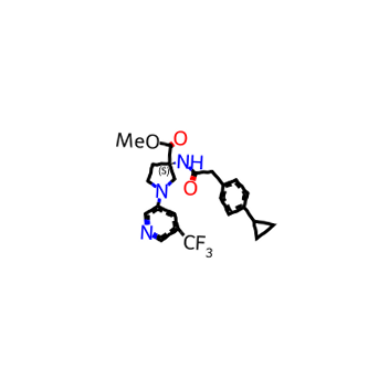 COC(=O)[C@]1(NC(=O)Cc2ccc(C3CC3)cc2)CCN(c2cncc(C(F)(F)F)c2)C1